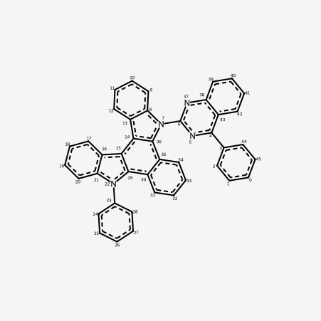 c1ccc(-c2nc(-n3c4ccccc4c4c5c6ccccc6n(-c6ccccc6)c5c5ccccc5c43)nc3ccccc23)cc1